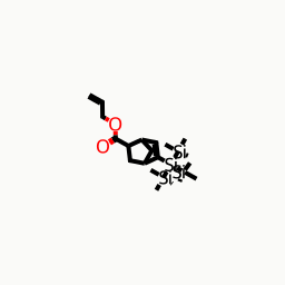 C=CCOC(=O)C1CC2CC1C=C2[Si]([Si](C)(C)C)([Si](C)(C)C)[Si](C)(C)C